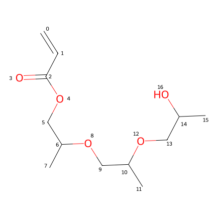 C=CC(=O)OCC(C)OCC(C)OCC(C)O